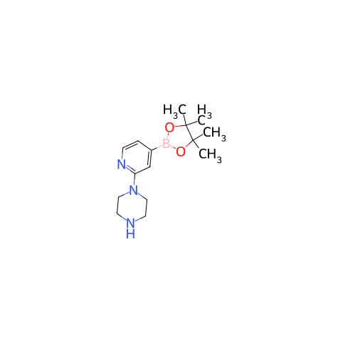 CC1(C)OB(c2ccnc(N3CCNCC3)c2)OC1(C)C